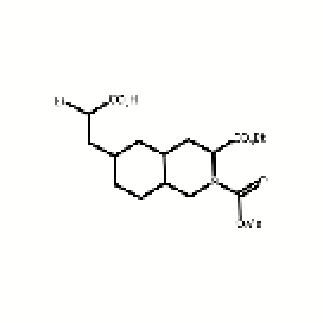 CCOC(=O)C1CC2CC(CC(CC)C(=O)O)CCC2CN1C(=O)OC